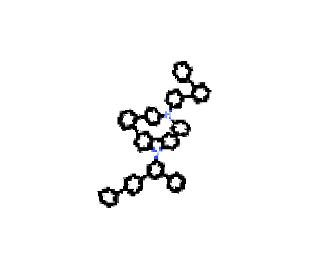 c1ccc(-c2ccc(-c3cc(-c4ccccc4)cc(-n4c5ccccc5c5cc(-c6ccccc6-c6ccc(N(c7ccccc7)c7cccc(-c8ccccc8-c8ccccc8)c7)cc6)ccc54)c3)cc2)cc1